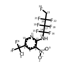 O=[N+]([O-])c1cc(C(F)(F)Cl)cnc1NC(F)(F)C(F)(F)C(F)(F)CF